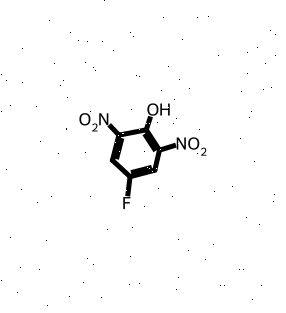 O=[N+]([O-])c1cc(F)cc([N+](=O)[O-])c1O